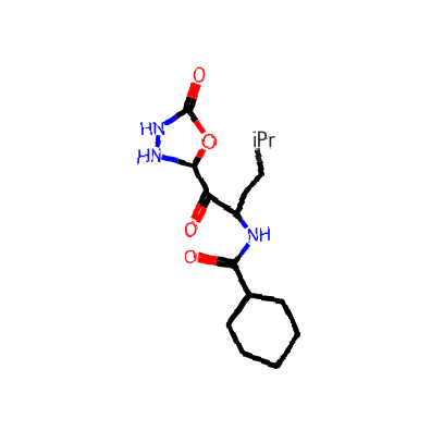 CC(C)CC(NC(=O)C1CCCCC1)C(=O)C1NNC(=O)O1